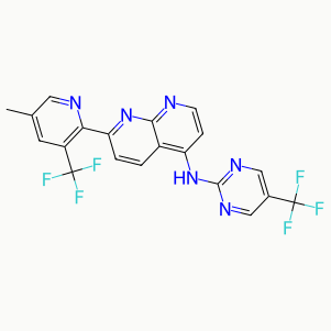 Cc1cnc(-c2ccc3c(Nc4ncc(C(F)(F)F)cn4)ccnc3n2)c(C(F)(F)F)c1